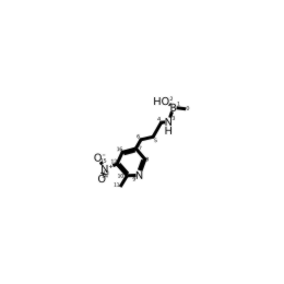 CB(O)NCCCc1cnc(C)c([N+](=O)[O-])c1